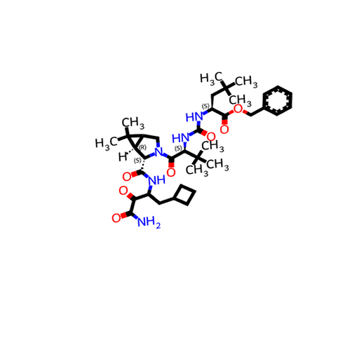 CC(C)(C)C[C@H](NC(=O)N[C@H](C(=O)N1CC2[C@@H]([C@H]1C(=O)NC(CC1CCC1)C(=O)C(N)=O)C2(C)C)C(C)(C)C)C(=O)OCc1ccccc1